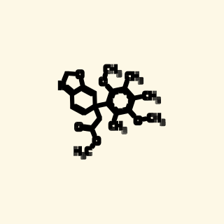 COC(=O)CC1(c2c(C)c(OC)c(C)c(C)c2OC)C=CC2=NCOC2=C1